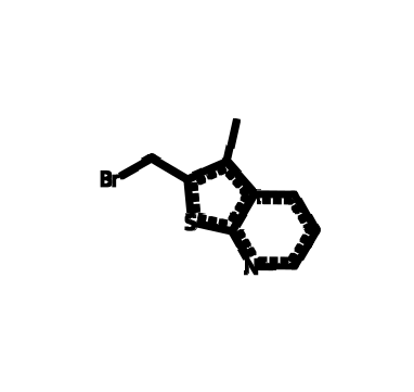 Cc1c(CBr)sc2ncccc12